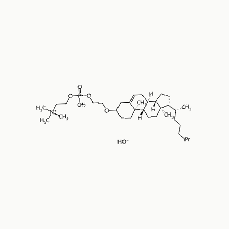 CC(C)CCC[C@@H](C)[C@H]1CC[C@H]2[C@@H]3CC=C4CC(OCCOP(=O)(O)OCC[N+](C)(C)C)CC[C@]4(C)[C@H]3CC[C@]12C.[OH-]